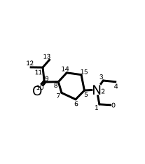 CCN(CC)C1CCC(C(=O)C(C)C)CC1